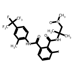 Cc1cc(C(F)(C(F)(F)F)C(F)(F)F)ccc1NC(=O)c1cccc(I)c1C(=O)NC(C)(C)C[S+](C)[O-]